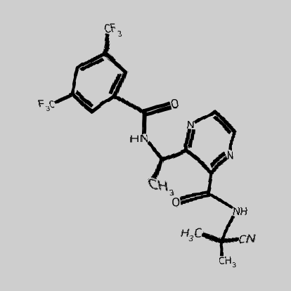 CC(NC(=O)c1cc(C(F)(F)F)cc(C(F)(F)F)c1)c1nccnc1C(=O)NC(C)(C)C#N